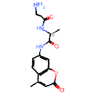 Cc1cc(=O)oc2cc(NC(=O)[C@H](C)NC(=O)CN)ccc12